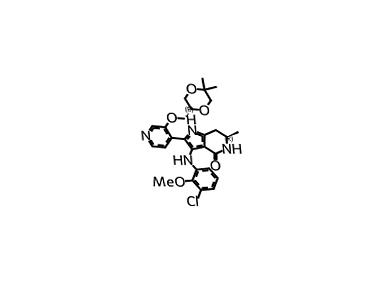 COc1c(Cl)cccc1Nc1c(-c2ccncc2OC[C@@H]2COC(C)(C)CO2)[nH]c2c1C(=O)N[C@H](C)C2